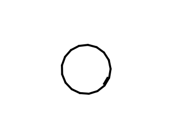 C1=CCCCCCCCCCCCCCCC1